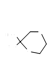 CC(=O)OC1(C(=O)O)COCCO1